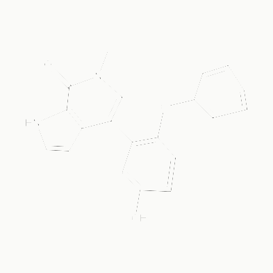 Cn1cc(-c2cc(O)ccc2Oc2ccccc2)c2cc[nH]c2c1=O